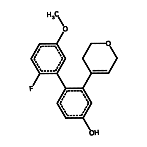 COc1ccc(F)c(-c2ccc(O)cc2C2=CCOCC2)c1